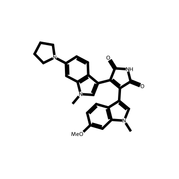 COc1ccc2c(C3=C(c4cn(C)c5cc(N6CCCC6)ccc45)C(=O)NC3=O)cn(C)c2c1